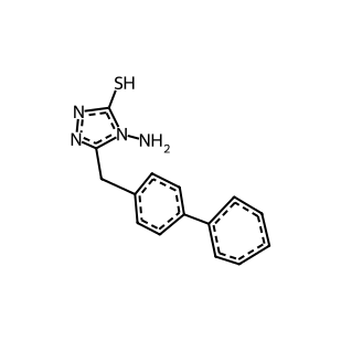 Nn1c(S)nnc1Cc1ccc(-c2ccccc2)cc1